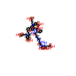 CC1(C)C(/C=C/C2=C(Oc3ccc(C[C@H](NC(=O)[C@H](Cc4ccccc4)NC(=O)CC[N+](C)(C)CC[N+](C)(C)CCNC(=O)CC[C@H](NC(=O)N[C@@H](CCC(=O)O)C(=O)O)C(=O)O)C(=O)O)cc3)C(=C/C=C3/N(CCCCS(=O)(=O)O)c4ccc(S(=O)(=O)O)cc4C3(C)C)/CCC2)=[N+](CCCCS(=O)(=O)O)c2ccc(S(=O)(=O)O)cc21